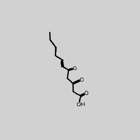 CCCC/C=C/C(=O)CC(=O)CC(=O)O